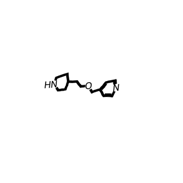 c1cc(COCCC2CCNCC2)ccn1